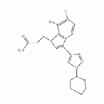 NC(=O)CCn1cc(-c2cnn(C3CCCCO3)c2)c2ccc(Cl)c(Cl)c21